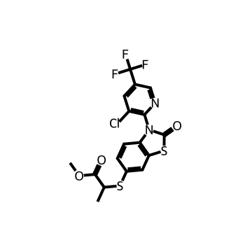 COC(=O)C(C)Sc1ccc2c(c1)sc(=O)n2-c1ncc(C(F)(F)F)cc1Cl